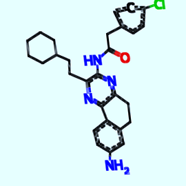 Nc1ccc2c(c1)CCc1nc(NC(=O)Cc3ccc(Cl)cc3)c(CCC3CCCCC3)nc1-2